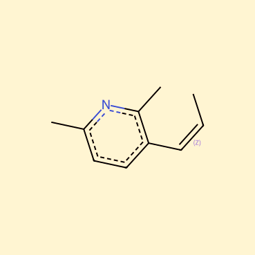 C/C=C\c1ccc(C)nc1C